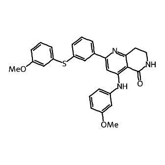 COc1cccc(Nc2cc(-c3cccc(Sc4cccc(OC)c4)c3)nc3c2C(=O)NCC3)c1